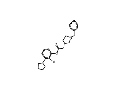 O=C(C[C@@H]1CCN(Cc2ccccc2)C1)Oc1cccc(C2CCCC2)c1O